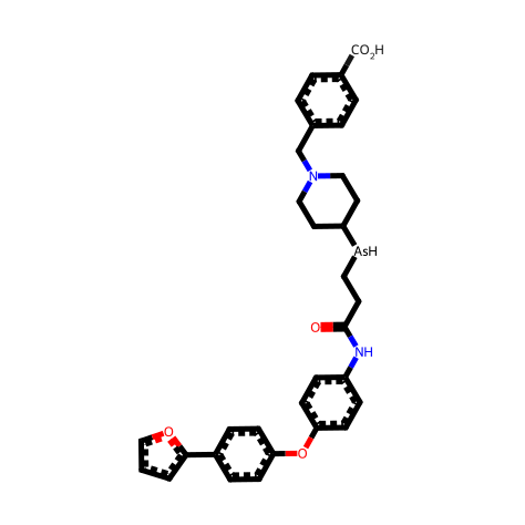 O=C(CC[AsH]C1CCN(Cc2ccc(C(=O)O)cc2)CC1)Nc1ccc(Oc2ccc(-c3ccco3)cc2)cc1